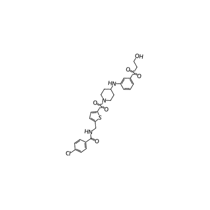 O=C(NCc1ccc(S(=O)(=O)N2CCC(Nc3cccc(S(=O)(=O)CCO)c3)CC2)s1)c1ccc(Cl)cc1